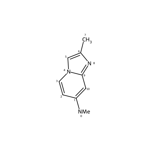 CNc1ccn2cc(C)nc2c1